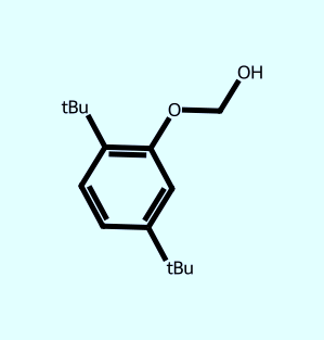 CC(C)(C)c1ccc(C(C)(C)C)c(OCO)c1